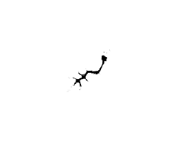 N#CCCC(F)(Cl)C(F)(F)Br